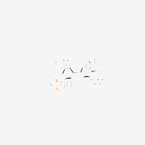 C=CS(=O)(=O)Nc1ccc(OC)c(-c2cc(NC)c(=O)n(C)c2)c1